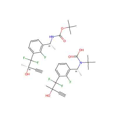 C#CC(C)(O)C(F)(F)c1cccc([C@@H](C)N(C(=O)O)C(C)(C)C)c1F.C#C[C@@](C)(O)C(F)(F)c1cccc([C@@H](C)NC(=O)OC(C)(C)C)c1F